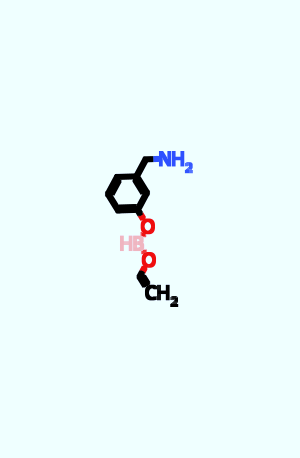 C=COBOc1cccc(CN)c1